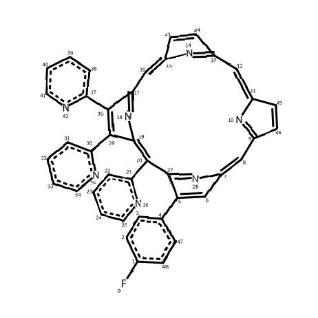 Fc1ccc(C2=CC3=CC4=NC(=CC5=NC(=CC6=NC(=C(c7ccccn7)C2=N3)C(c2ccccn2)=C6c2ccccn2)C=C5)C=C4)cc1